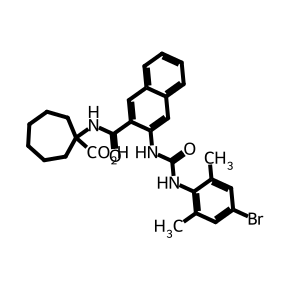 Cc1cc(Br)cc(C)c1NC(=O)Nc1cc2ccccc2cc1C(=O)NC1(C(=O)O)CCCCCC1